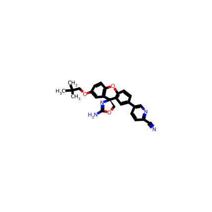 CC(C)(C)COc1ccc2c(c1)[C@]1(COC(N)=N1)c1cc(-c3ccc(C#N)nc3)ccc1O2